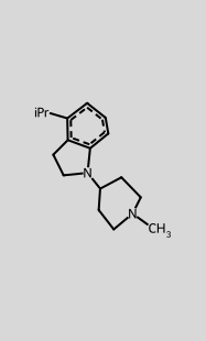 CC(C)c1cccc2c1CCN2C1CCN(C)CC1